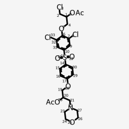 CC(=O)OC(CCl)COc1c(Cl)cc(S(=O)(=O)c2ccc(OCC(CN3CCOCC3)OC(C)=O)cc2)cc1Cl